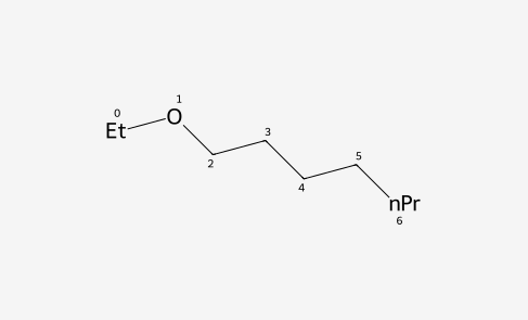 [CH2]COCCCCCCC